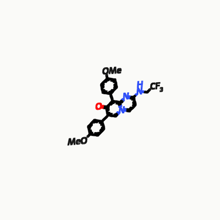 COc1ccc(-c2cn3ccc(NCC(F)(F)F)nc3c(-c3ccc(OC)cc3)c2=O)cc1